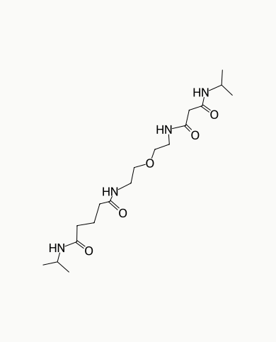 CC(C)NC(=O)CCCC(=O)NCCOCCNC(=O)CC(=O)NC(C)C